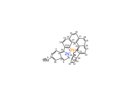 CC(C)(C)c1ccc2c(cc[n+]3[pH]c4c(ccc5ccc6ccc7ccc8c(c7c6c54)Cc4ccccc4-8)c23)c1